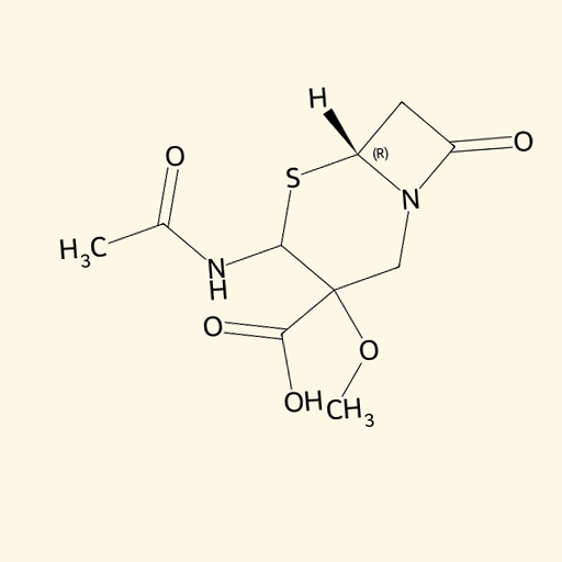 COC1(C(=O)O)CN2C(=O)C[C@H]2SC1NC(C)=O